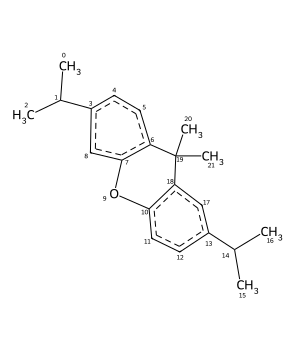 CC(C)c1ccc2c(c1)Oc1ccc(C(C)C)cc1C2(C)C